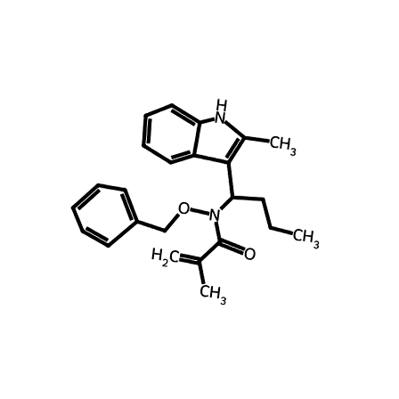 C=C(C)C(=O)N(OCc1ccccc1)C(CCC)c1c(C)[nH]c2ccccc12